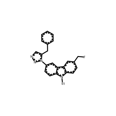 CCn1c2ccc(CF)cc2c2cc(-n3nncc3Cc3ccccc3)ccc21